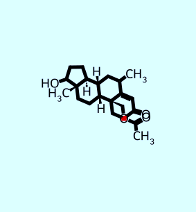 CC(=O)OC[C@]12CCC(=O)C=C1C(C)C[C@@H]1[C@H]2CC[C@]2(C)C(O)CC[C@@H]12